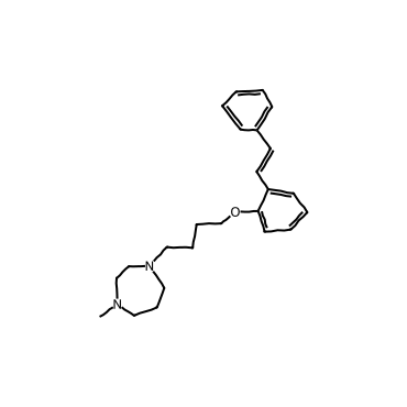 CN1CCCN(CCCCOc2ccccc2/C=C/c2ccccc2)CC1